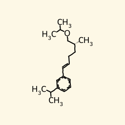 CC(C)OC[C@H](C)CC/C=C/c1cccc(C(C)C)c1